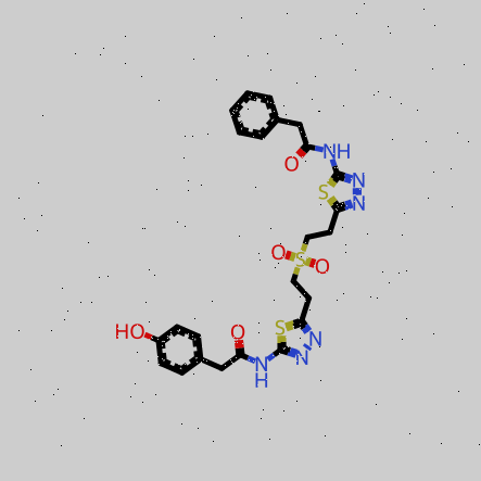 O=C(Cc1ccccc1)Nc1nnc(CCS(=O)(=O)CCc2nnc(NC(=O)Cc3ccc(O)cc3)s2)s1